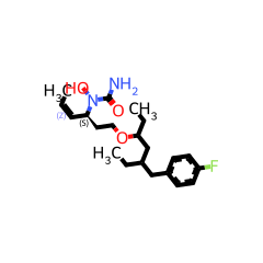 C/C=C\[C@H](CCOC(CC)CC(CC)Cc1ccc(F)cc1)N(O)C(N)=O